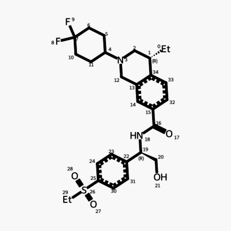 CC[C@H]1CN(C2CCC(F)(F)CC2)Cc2cc(C(=O)N[C@@H](CO)c3ccc(S(=O)(=O)CC)cc3)ccc21